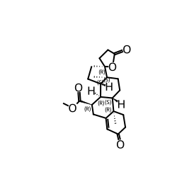 COC(=O)[C@@H]1CC2=CC(=O)CC[C@]2(C)[C@H]2CC[C@@]3(C)[C@@H](CC[C@@]34CCC(=O)O4)[C@H]12